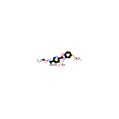 CCS(=O)(=O)c1cc(/C(=N/OCC(F)(F)F)NC(C)=O)cnc1-c1nc2cc(SOC(F)(F)F)ccc2o1